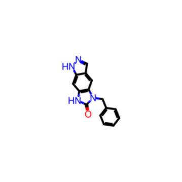 O=c1[nH]c2cc3[nH]ncc3cc2n1Cc1ccccc1